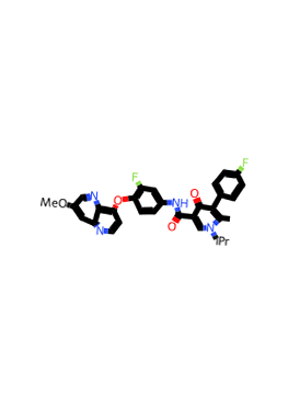 COc1cnc2c(Oc3ccc(NC(=O)c4cn(C(C)C)c(C)c(-c5ccc(F)cc5)c4=O)cc3F)ccnc2c1